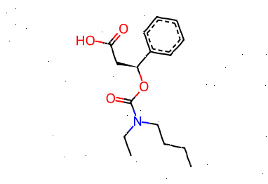 CCCCN(CC)C(=O)O[C@@H](CC(=O)O)c1ccccc1